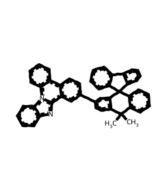 CC1(C)c2ccccc2C2(c3ccccc3-c3ccccc32)c2cc(-c3ccc4c5ccccc5n5c6ccccc6nc5c4c3)ccc21